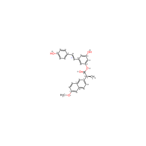 COc1ccc2cc([C@H](C)C(=O)Oc3cc(O)cc(/C=C/c4ccc(O)cc4)c3)ccc2c1